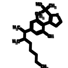 CCCCCC(C)C(C)c1cc(O)c(C2=C(C(C)(C)O)SCC2)c(O)c1